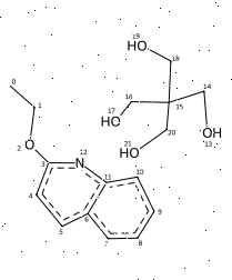 CCOc1ccc2ccccc2n1.OCC(CO)(CO)CO